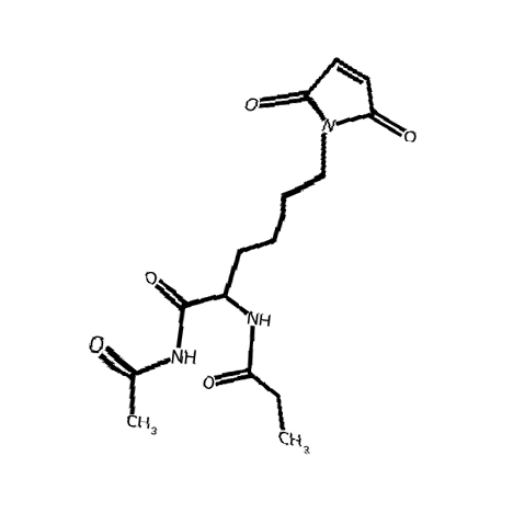 CCC(=O)NC(CCCCN1C(=O)C=CC1=O)C(=O)NC(C)=O